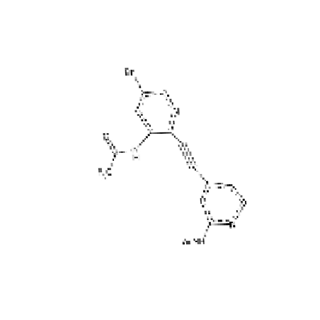 CC(=O)Nc1cc(C#Cc2ncc(Br)cc2NC(=O)C(F)(F)F)ccn1